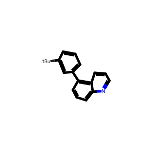 CC(C)(C)c1cccc(-c2cccc3ncccc23)c1